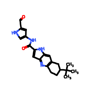 CC(C)(C)C1CCc2nc3cc(C(=O)Nc4c[nH]c(C=O)c4)[nH]c3cc2C1